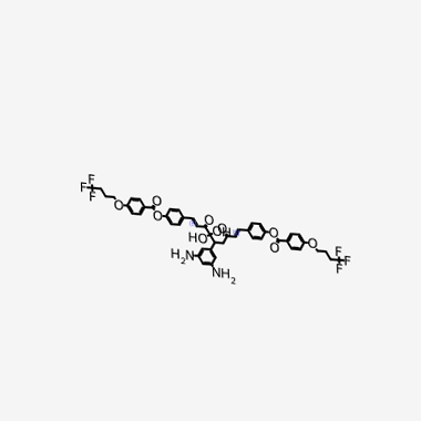 Nc1cc(N)cc(C(CC(=O)/C=C/c2ccc(OC(=O)c3ccc(OCCCC(F)(F)F)cc3)cc2)C(O)(O)C(=O)/C=C/c2ccc(OC(=O)c3ccc(OCCCC(F)(F)F)cc3)cc2)c1